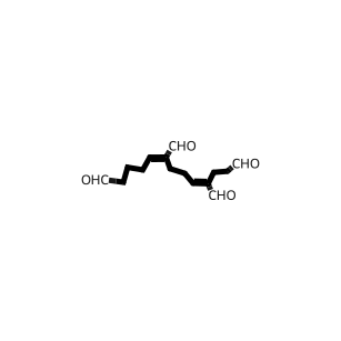 O=CCCC/C=C(/C=O)CC/C=C(/C=O)CCC=O